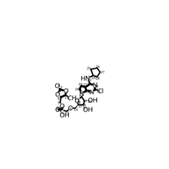 Cc1oc(=O)oc1COP(=O)(O)COC[C@H]1O[C@@H](n2ccc3c(NC4CCCC4)nc(Cl)nc32)[C@H](O)[C@@H]1O